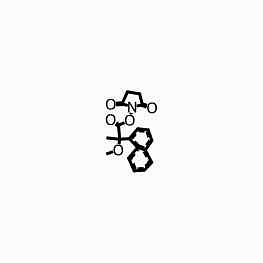 COC(C)(C(=O)ON1C(=O)CCC1=O)c1cccc2ccccc12